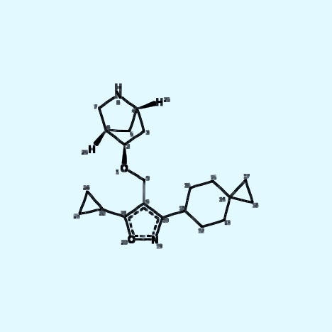 C(O[C@@H]1C[C@@H]2C[C@H]1CN2)c1c(C2CCC3(CC2)CC3)noc1C1CC1